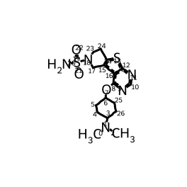 CN(C)C1CCC(Oc2ncnc3sc4c(c23)CN(S(N)(=O)=O)CC4)CC1